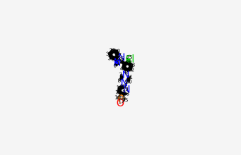 Cn1c(-c2cc(N3CCN(c4ccc(P(C)(C)=O)cn4)CC3)ccc2Cl)nc2ccccc21